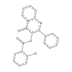 O=C(Oc1c(-c2ccccc2)nc2ccccn2c1=O)c1ccccc1Cl